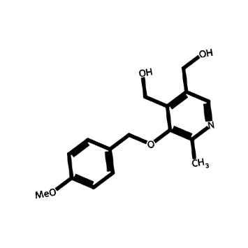 COc1ccc(COc2c(C)ncc(CO)c2CO)cc1